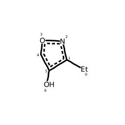 CCc1nocc1O